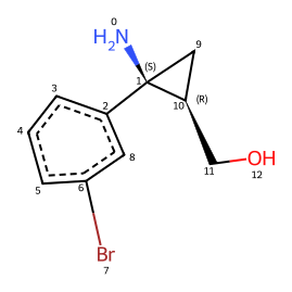 N[C@@]1(c2cccc(Br)c2)C[C@H]1CO